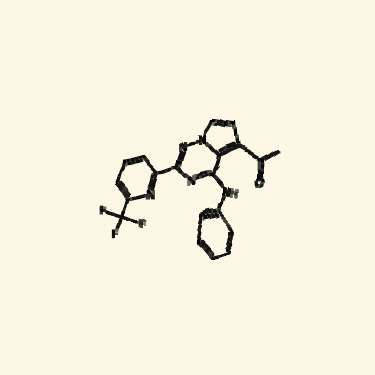 CC(=O)c1ccn2nc(-c3cccc(C(F)(F)F)n3)nc(Nc3ccccc3)c12